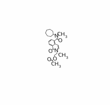 CC(=O)OC[C@@H](C)n1ccc2c(C(=O)N(C)C3CCCCCC3)cccc2c1=O